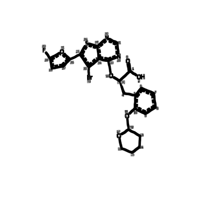 O=C(O)[C@@H](Cc1ccccc1OC1CCCCO1)Oc1ncnc2sc(-c3ccc(F)o3)c(Br)c12